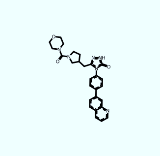 O=C(N1CCOCC1)N1CCC(Cc2n[nH]c(=O)n2-c2ccc(-c3ccc4cccnc4c3)cc2)C1